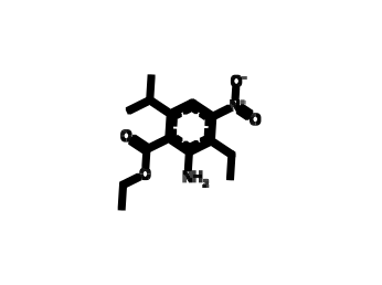 CCOC(=O)c1c(C(C)C)cc([N+](=O)[O-])c(CC)c1N